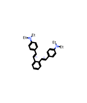 CCN(CC)c1ccc(/C=C/c2ccccc2/C=C/c2ccc(N(CC)CC)cc2)cc1